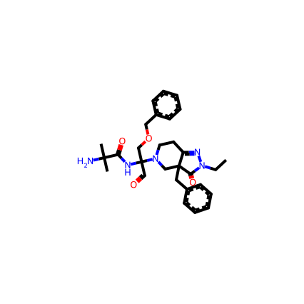 CCN1N=C2CCN(C(C=O)(COCc3ccccc3)NC(=O)C(C)(C)N)CC2(Cc2ccccc2)C1=O